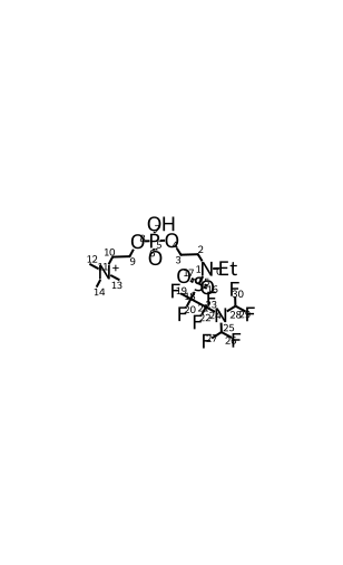 CCN(CCOP(=O)(O)OCC[N+](C)(C)C)S(=O)(=O)C(F)(F)C(F)(F)N(C(F)F)C(F)F